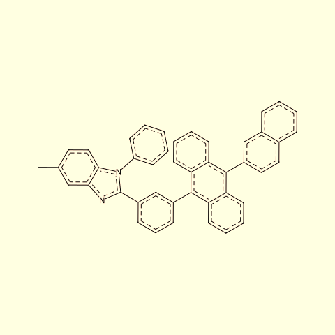 Cc1ccc2c(c1)nc(-c1cccc(-c3c4ccccc4c(-c4ccc5ccccc5c4)c4ccccc34)c1)n2-c1ccccc1